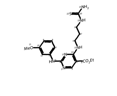 CCOC(=O)c1cnc(Nc2cccc(OC)c2)nc1NCCCNC(N)=S